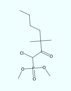 CCCCC(C)(C)C(=O)C(Cl)P(=O)(OC)OC